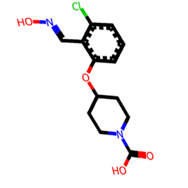 O=C(O)N1CCC(Oc2cccc(Cl)c2C=NO)CC1